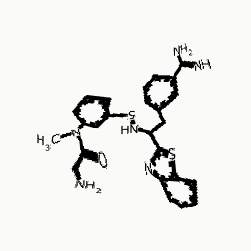 CN(C(=O)CN)c1cccc(SNC(Cc2cccc(C(=N)N)c2)c2nc3ccccc3s2)c1